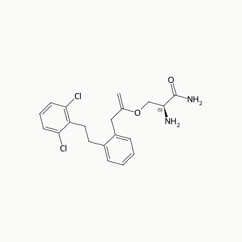 C=C(Cc1ccccc1CCc1c(Cl)cccc1Cl)OC[C@H](N)C(N)=O